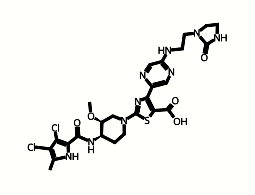 CO[C@H]1CN(c2nc(-c3cnc(NCCN4CCNC4=O)cn3)c(C(=O)O)s2)CC[C@H]1NC(=O)c1[nH]c(C)c(Cl)c1Cl